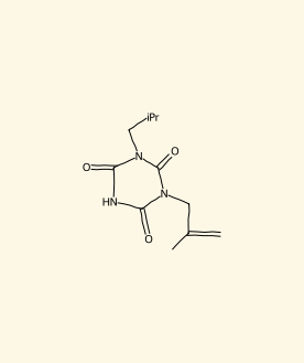 C=C(C)Cn1c(=O)[nH]c(=O)n(CC(C)C)c1=O